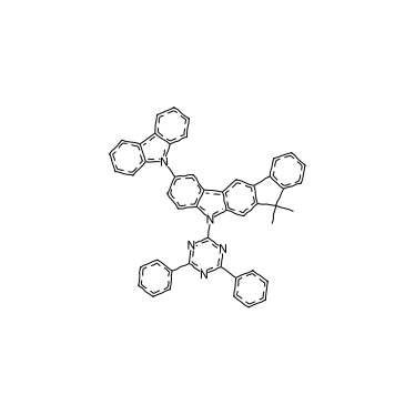 CC1(C)c2ccccc2-c2cc3c4cc(-n5c6ccccc6c6ccccc65)ccc4n(-c4nc(-c5ccccc5)nc(-c5ccccc5)n4)c3cc21